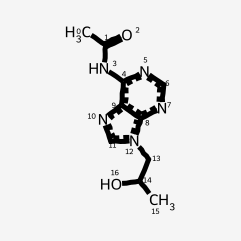 CC(=O)Nc1ncnc2c1ncn2CC(C)O